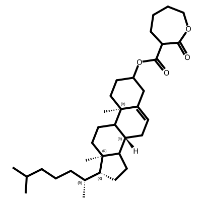 CC(C)CCC[C@@H](C)[C@H]1CCC2[C@H]3CC=C4CC(OC(=O)C5CCCCOC5=O)CC[C@]4(C)C3CC[C@@]21C